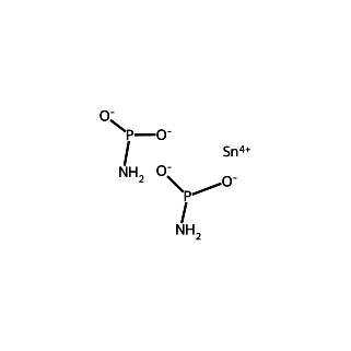 NP([O-])[O-].NP([O-])[O-].[Sn+4]